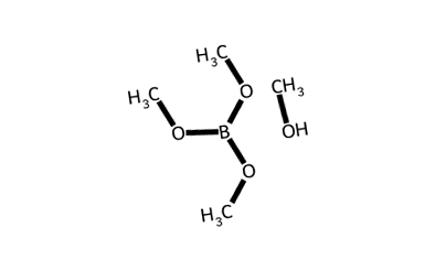 CO.COB(OC)OC